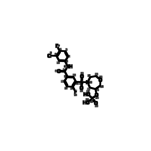 O=C(Nc1ccc(F)c(Cl)c1)c1ccc(F)c(S(=O)(=O)N2CCOCC(OP(=O)(O)O)C2)c1